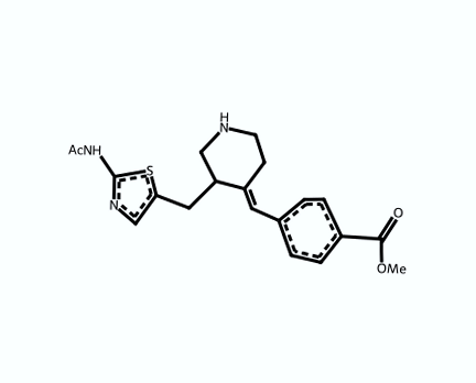 COC(=O)c1ccc(C=C2CCNCC2Cc2cnc(NC(C)=O)s2)cc1